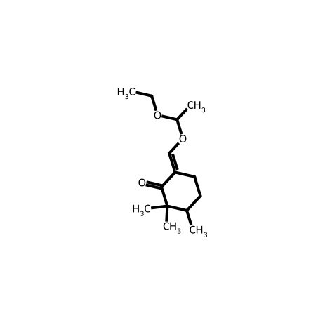 CCOC(C)OC=C1CCC(C)C(C)(C)C1=O